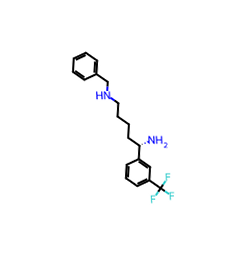 N[C@@H](CCCCNCc1ccccc1)c1cccc(C(F)(F)F)c1